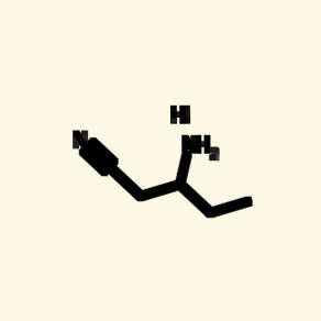 CCC(N)CC#N.I